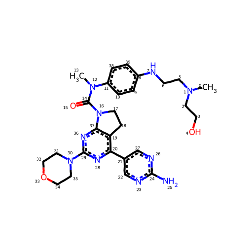 CN(CCO)CCNc1ccc(N(C)C(=O)N2CCc3c(-c4cnc(N)nc4)nc(N4CCOCC4)nc32)cc1